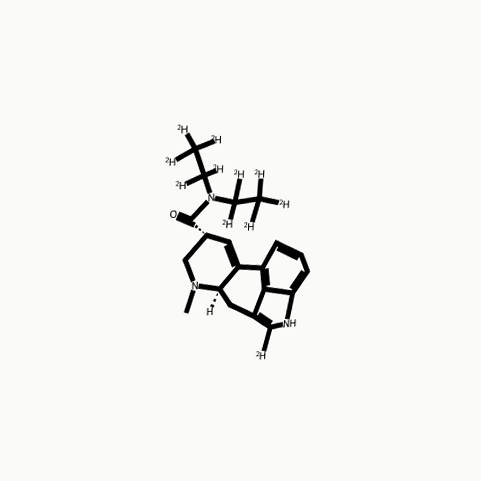 [2H]c1[nH]c2cccc3c2c1C[C@@H]1C3=C[C@@H](C(=O)N(C([2H])([2H])C([2H])([2H])[2H])C([2H])([2H])C([2H])([2H])[2H])CN1C